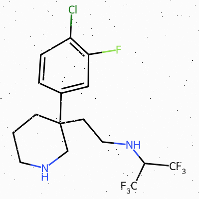 Fc1cc(C2(CCNC(C(F)(F)F)C(F)(F)F)CCCNC2)ccc1Cl